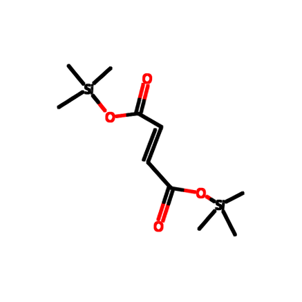 C[Si](C)(C)OC(=O)/C=C/C(=O)O[Si](C)(C)C